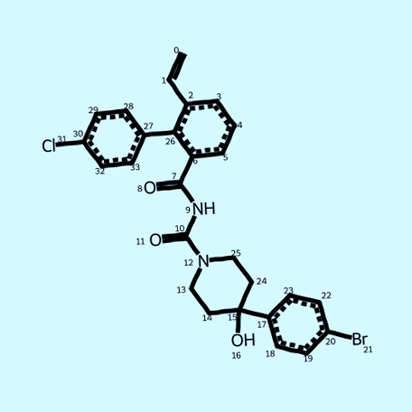 C=Cc1cccc(C(=O)NC(=O)N2CCC(O)(c3ccc(Br)cc3)CC2)c1-c1ccc(Cl)cc1